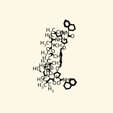 C[C@@H](C(=O)N[C@H](C(=O)N1C[C@@H](OCC#CC#CCO[C@H]2C[C@@H](C(=O)N[C@@H]3CCCc4ccccc43)N(C(=O)[C@@H](NC(=O)[C@H](CO)N(C)C(=O)OC(C)(C)C)C(C)(C)C)C2)C[C@H]1C(=O)N[C@@H]1CCCc2ccccc21)C(C)(C)C)N(C)C(=O)OC(C)(C)C